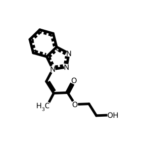 CC(=Cn1nnc2ccccc21)C(=O)OCCO